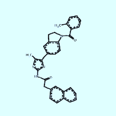 Cc1ccccc1C(=O)N1CCc2cc(-c3nc(NC(=O)Cc4ccc5ccccc5c4)sc3C)ccc21